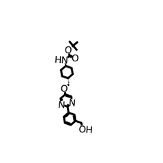 CC(C)(C)OC(=O)N[C@H]1CC[C@H](COc2cnc(-c3cccc(CO)c3)nc2)CC1